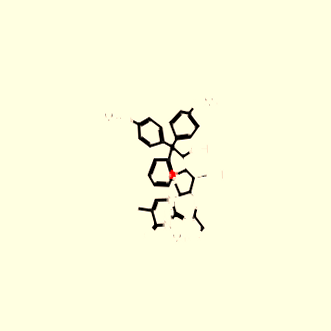 COCCO[C@@H]1[C@H](O)[C@@H](C(O)C(c2ccccc2)(c2ccc(OC)cc2)c2ccc(OC)cc2)O[C@H]1n1cc(C)c(=O)[nH]c1=O